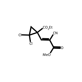 CCOC(=O)C1(/C=C(\C#N)C(=O)OC)CC1(Cl)Cl